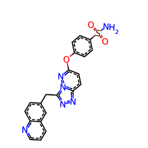 NS(=O)(=O)c1ccc(Oc2ccc3nnc(Cc4ccc5ncccc5c4)n3n2)cc1